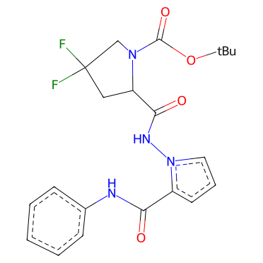 CC(C)(C)OC(=O)N1CC(F)(F)CC1C(=O)Nn1cccc1C(=O)Nc1ccccc1